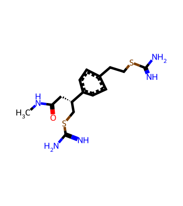 CNC(=O)C[C@@H](CSC(=N)N)c1ccc(CCSC(=N)N)cc1